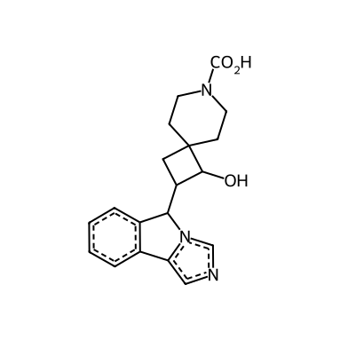 O=C(O)N1CCC2(CC1)CC(C1c3ccccc3-c3cncn31)C2O